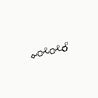 O=C(Cc1cccc(Cl)c1)N1CCN(CC(=O)N2CCN(C3CCC3)CC2)CC1